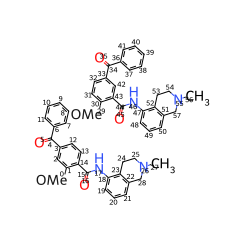 COc1cc(C(=O)c2ccccc2)ccc1C(=O)Nc1cccc2c1CCN(C)C2.COc1ccc(C(=O)c2ccccc2)cc1C(=O)Nc1cccc2c1CCN(C)C2